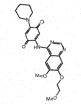 COCCOc1cc2ncnc(NC3=CC(=O)C(N4CCCCC4)=CC3=O)c2cc1OC